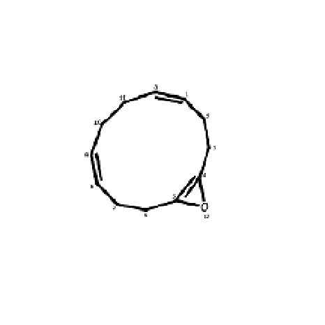 C1=CCCC2=C(CCC=CCC1)O2